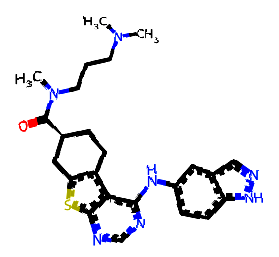 CN(C)CCCN(C)C(=O)[C@H]1CCc2c(sc3ncnc(Nc4ccc5[nH]ncc5c4)c23)C1